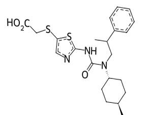 CC(CN(C(=O)Nc1ncc(SCC(=O)O)s1)[C@H]1CC[C@H](C)CC1)c1ccccc1